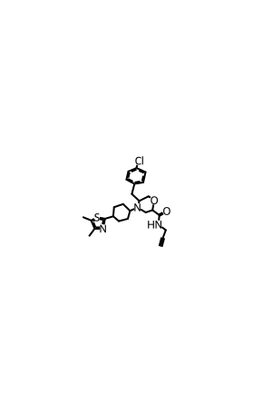 C#CCNC(=O)C1CN(C2CCC(c3nc(C)c(C)s3)CC2)C(Cc2ccc(Cl)cc2)CO1